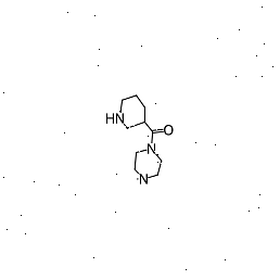 O=C(C1CCCNC1)N1CC[N]CC1